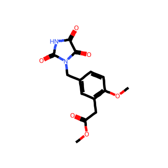 COC(=O)Cc1cc(CN2C(=O)NC(=O)C2=O)ccc1OC